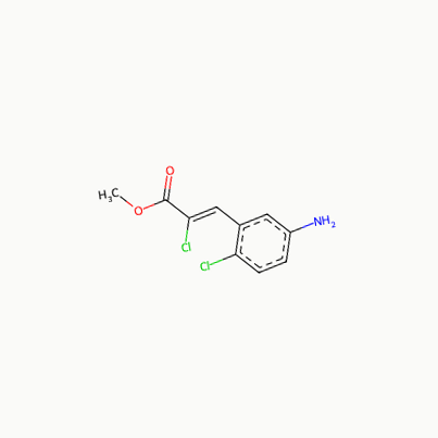 COC(=O)/C(Cl)=C/c1cc(N)ccc1Cl